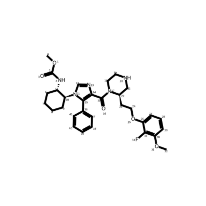 COC(=O)N[C@H]1CCCC[C@@H]1n1cnc(C(=O)N2CCNC[C@H]2CCOc2cccc(OC)c2F)c1-c1ccccc1